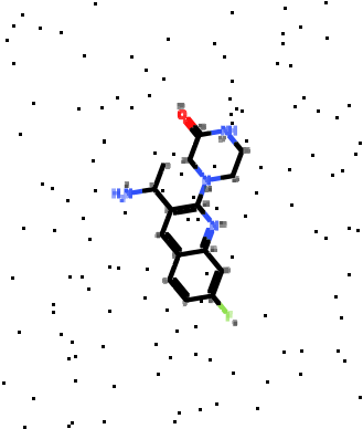 CC(N)c1cc2ccc(F)cc2nc1N1CCNC(=O)C1